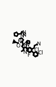 Cc1nc2c(F)c(-c3cccc(Cl)c3Cl)c(CCC#N)cc2c2c1cc(C1CC(n3nncc3C3CCCC3)CN1C(=O)C1CC1)n2C1C2CNC1C2